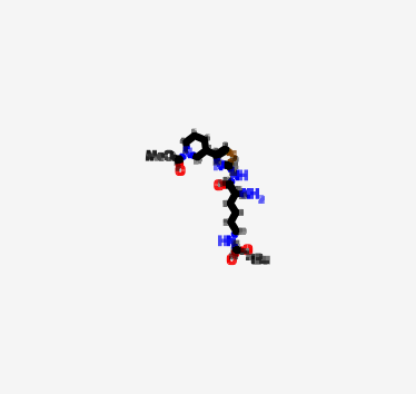 COC(=O)N1CCCC(c2csc(NC(=O)C(N)CCCCNC(=O)OC(C)(C)C)n2)C1